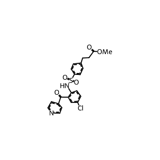 COC(=O)CCc1ccc(S(=O)(=O)Nc2ccc(Cl)cc2C(=O)c2ccncc2)cc1